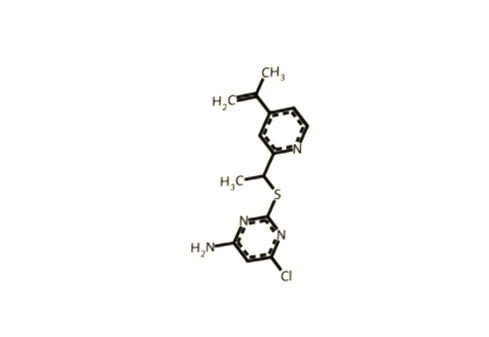 C=C(C)c1ccnc(C(C)Sc2nc(N)cc(Cl)n2)c1